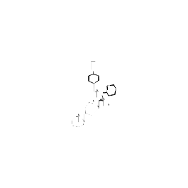 Fc1ccc(Cn2c(N3CCC(N4CCCCC4)CC3)nc3ccccc32)cc1